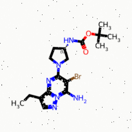 CCc1cnn2c(N)c(Br)c(N3CC[C@H](NC(=O)OC(C)(C)C)C3)nc12